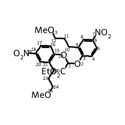 CCOC(=O)C(Oc1ccc([N+](=O)[O-])cc1CCCOC)Oc1ccc([N+](=O)[O-])cc1CCCOC